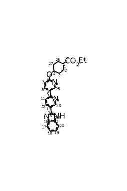 CCOC(=O)C1CCC(Oc2ccc(-c3ccc(-c4nc5ccccc5[nH]4)cn3)cn2)CC1